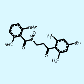 COc1cccc(OC)c1C(=O)[PH](=O)CCC(=O)c1c(C)cc(C(C)(C)C)cc1C